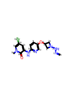 C=NNN1CC(Oc2ccc(Nc3cc(Br)cn(C)c3=O)nc2)C1